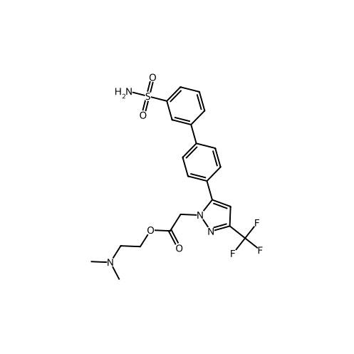 CN(C)CCOC(=O)Cn1nc(C(F)(F)F)cc1-c1ccc(-c2cccc(S(N)(=O)=O)c2)cc1